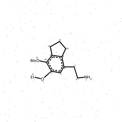 CCOc1cc(CCN)c2c(c1OC)CCC2